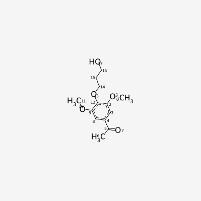 COc1cc(C(C)=O)cc(OC)c1OCCCO